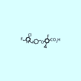 O=C(O)c1cc(C2CC2)c(OCC2CCN(Cc3cc(Cl)cc(CF)n3)CC2)cc1F